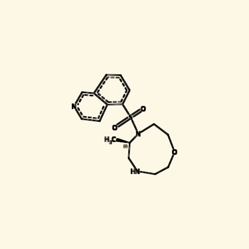 C[C@@H]1CNCCOCCN1S(=O)(=O)c1cccc2cnccc12